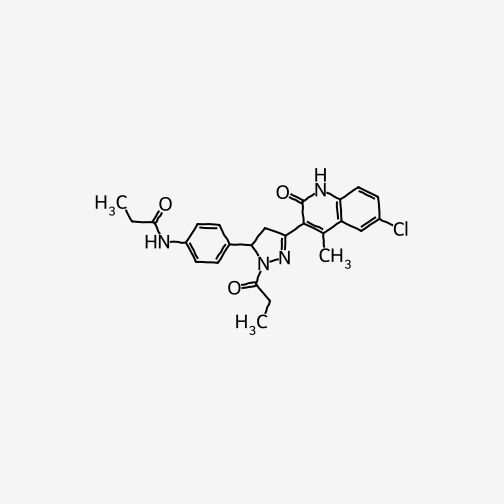 CCC(=O)Nc1ccc(C2CC(c3c(C)c4cc(Cl)ccc4[nH]c3=O)=NN2C(=O)CC)cc1